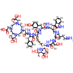 C[C@@H](O)[C@H](NC(=O)[C@@H]1CSSC[C@H](NC(=O)[C@@H](Cc2ccccc2)NC(=O)CN2CCN(CC(=O)O)CCN(CC(=O)O)CCN(CC(=O)O)CC2)C(=O)NC(Cc2ccc(O)cc2)C(=O)N[C@H](Cc2c[nH]c3ccccc23)C(=O)N[C@@H](CCCCN)C(=O)N[C@@H]([C@@H](C)O)C(=O)N1)C(=O)O